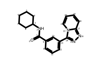 O=C(NC1CCCCC1)c1cccc(-c2nnc3ccccn23)c1